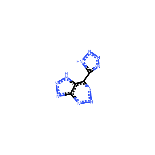 n1n[nH]c(-c2nnnc3nn[nH]c23)n1